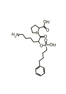 NCCCCC(OP(=O)(O)CCCCc1ccccc1)C(=O)N1CCCC1C(=O)O